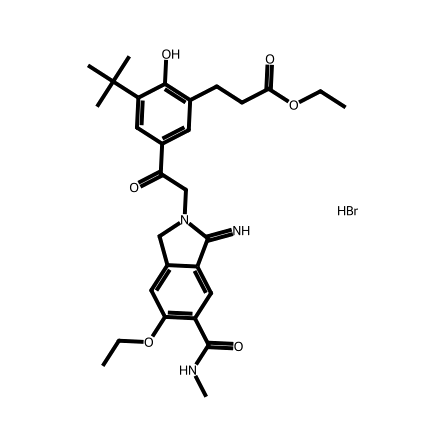 Br.CCOC(=O)CCc1cc(C(=O)CN2Cc3cc(OCC)c(C(=O)NC)cc3C2=N)cc(C(C)(C)C)c1O